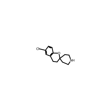 Clc1ccc2c(c1)CCC1(CCNCC1)O2